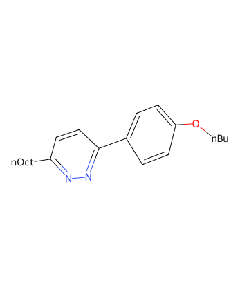 CCCCCCCCc1ccc(-c2ccc(OCCCC)cc2)nn1